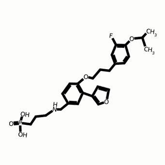 CC(C)Oc1ccc(CCCOc2ccc(CNCCCP(=O)(O)O)cc2-c2ccoc2)cc1F